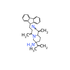 C=C(C#N)C1CCC(N)(C(=C)C)CN1C(=C)CCC1c2ccccc2-c2ccccc21